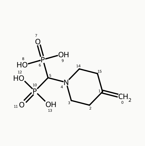 C=C1CCN(C(P(=O)(O)O)P(=O)(O)O)CC1